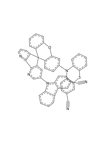 N#Cc1ccc2c(c1)Sc1ccccc1N2c1ccc2c(c1)Oc1ccccc1C21c2cccnc2-c2ncc(-n3c4ccccc4c4cc(C#N)ccc43)cc21